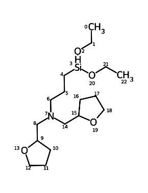 CCO[SiH](CCCN(CC1CCCO1)CC1CCCO1)OCC